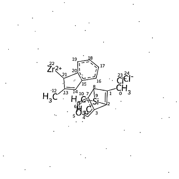 CC1=C2c3cocc3C1[Si]2(C)C.CC1=Cc2ccccc2[CH]1[Zr+2].[Cl-].[Cl-]